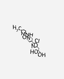 Cc1ccc(NC(=O)N2CC=C(c3ncc(C[C@H](O)CO)cc3Cl)CC2)nc1